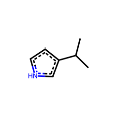 CC(C)c1[c]c[nH]c1